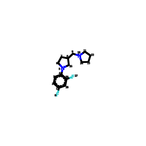 Fc1ccc(N2CCC(CN3CCCC3)C2)c(F)c1